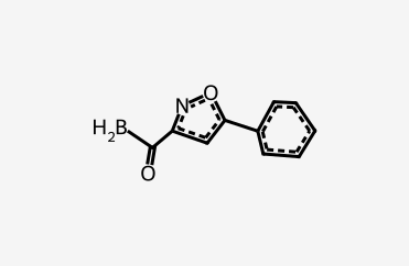 BC(=O)c1cc(-c2ccccc2)on1